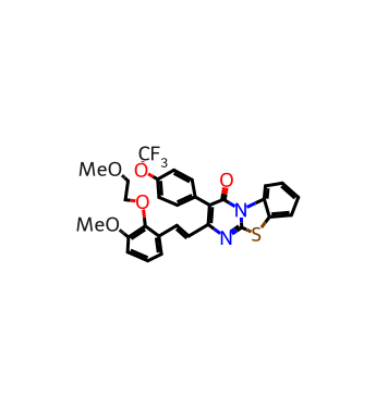 COCCOc1c(C=Cc2nc3sc4ccccc4n3c(=O)c2-c2ccc(OC(F)(F)F)cc2)cccc1OC